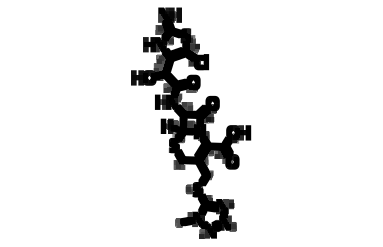 Cn1nnnc1SCC1=C(C(=O)O)N2C(=O)C(NC(=O)C(O)c3[nH]c(=N)sc3Cl)[C@H]2SC1